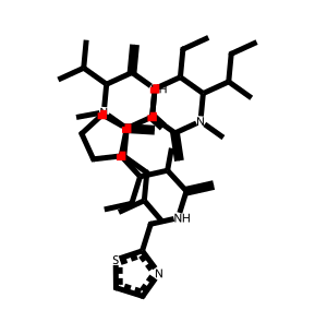 C=C(NCc1nccs1)C(C)C(CC)C1CCCN1C(=C)CC(CC)C(C(C)CC)N(C)C(=C)CNC(=C)C(C(C)C)N(C)C(=C)CCC(C)C